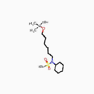 CC(C)(C)[Si](C)(C)OCCCCCCN(C1CCCCC1)S(=O)(=O)C(C)(C)C